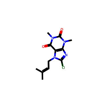 CC(C)=CCn1c(Cl)nc2c1c(=O)n(C)c(=O)n2C